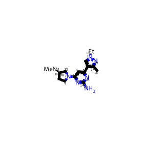 CCn1cc(-c2cc(N3CC[C@@H](NC)C3)nc(N)n2)c(C)n1